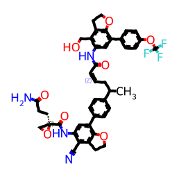 CC(C/C=C\C(=O)Nc1cc(-c2ccc(OC(F)(F)F)cc2)c2c(c1CO)CCO2)c1ccc(-c2cc(NC(=O)[C@]3(CCC(N)=O)CO3)c(C#N)c3c2OCC3)cc1